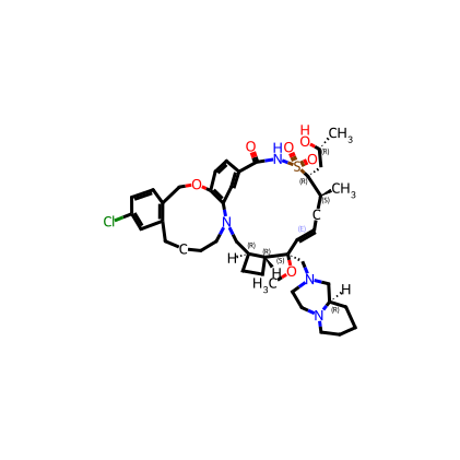 CO[C@]1(CN2CCN3CCCC[C@@H]3C2)/C=C/C[C@H](C)[C@@H](C[C@@H](C)O)S(=O)(=O)NC(=O)c2ccc3c(c2)N(CCCCc2cc(Cl)ccc2CO3)C[C@@H]2CC[C@H]21